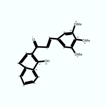 COc1cc(/C=C/C(=O)c2ccc3ccccc3c2O)cc(OC)c1OC